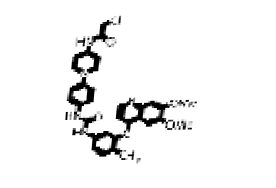 COc1cc2nccc(Oc3cc(NC(=O)Nc4ccc(N5CCC(NC(=O)CCl)CC5)cc4)ccc3C)c2cc1OC